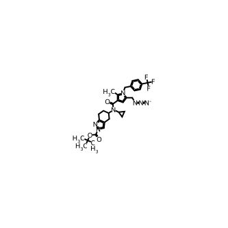 Cc1c(C(=O)N(C2CC2)C2CCc3nn(C(=O)OC(C)(C)C)cc3C2)cc(CN=[N+]=[N-])n1Cc1ccc(C(F)(F)F)cc1